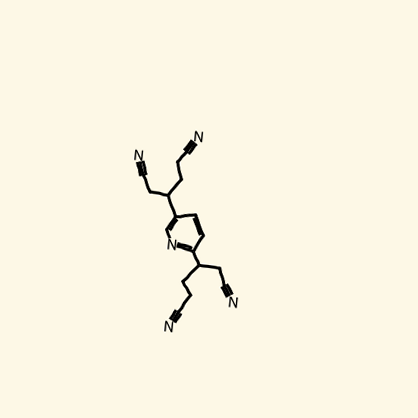 N#CCCC(CC#N)c1ccc(C(CC#N)CCC#N)nc1